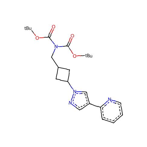 CC(C)(C)OC(=O)N(CC1CC(n2cc(-c3ccccn3)cn2)C1)C(=O)OC(C)(C)C